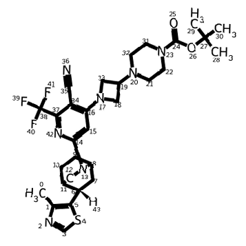 Cc1ncsc1[C@H]1CC2CCC1CN2c1cc(N2CC(N3CCN(C(=O)OC(C)(C)C)CC3)C2)c(C#N)c(C(F)(F)F)n1